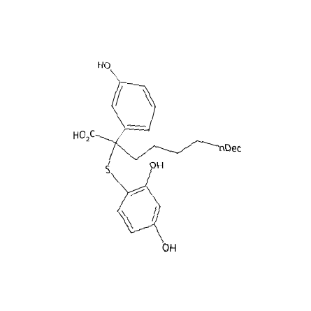 CCCCCCCCCCCCCCC(Sc1ccc(O)cc1O)(C(=O)O)c1cccc(O)c1